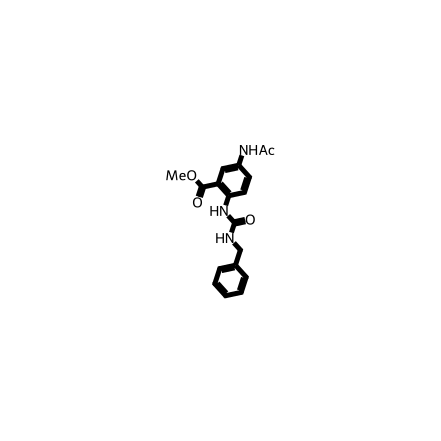 COC(=O)c1cc(NC(C)=O)ccc1NC(=O)NCc1ccccc1